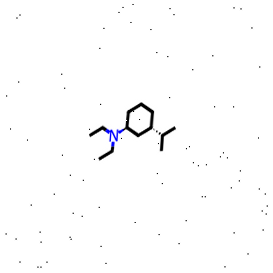 CCN(CC)[C@H]1CCC[C@H](C(C)C)C1